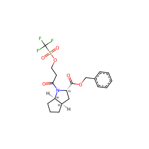 O=C(OCc1ccccc1)[C@@H]1C[C@H]2CCC[C@H]2N1C(=O)CCOS(=O)(=O)C(F)(F)F